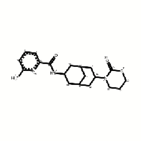 Cc1cccc(C(=O)NC2CC3CC(C2)CC(N2CCCOC2=O)C3)n1